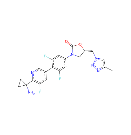 Cc1cn(C[C@H]2CN(c3cc(F)c(-c4cnc(C5(N)CC5)c(F)c4)c(F)c3)C(=O)O2)nn1